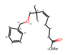 COC(=O)CCC/C=C\C(C)(C)COCc1ccccc1